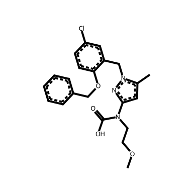 COCCN(C(=O)O)c1cc(C)n(Cc2cc(Cl)ccc2OCc2ccccc2)n1